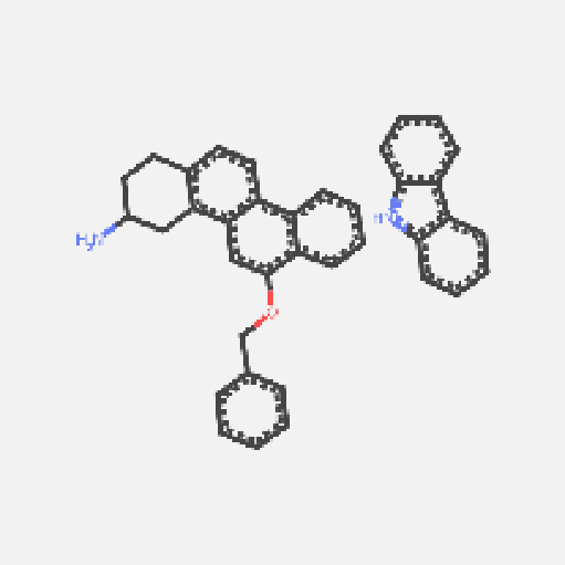 NC1CCc2ccc3c(cc(OCc4ccccc4)c4ccccc43)c2C1.c1ccc2c(c1)[nH]c1ccccc12